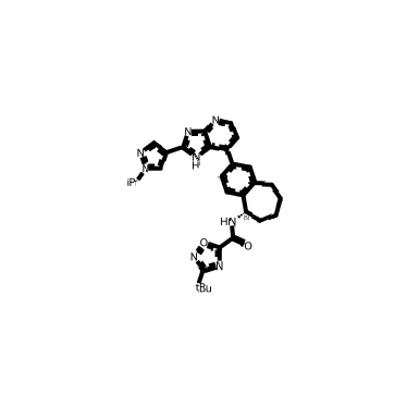 CC(C)n1cc(-c2nc3nccc(-c4ccc5c(c4)CCCC[C@@H]5NC(=O)c4nc(C(C)(C)C)no4)c3[nH]2)cn1